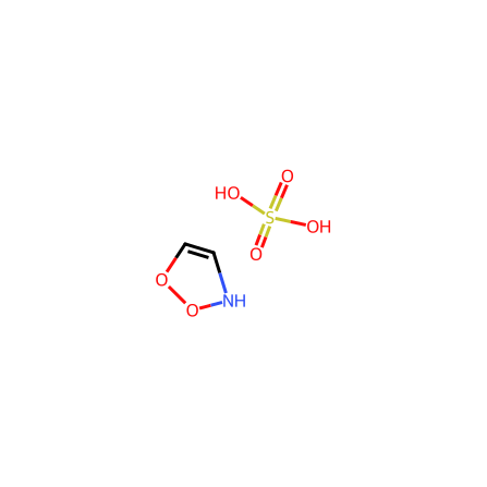 C1=COON1.O=S(=O)(O)O